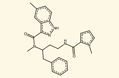 Cc1ccc2[nH]nc(C(=O)N(C)C(CCNC(=O)c3cccn3C)Cc3ccccc3)c2c1